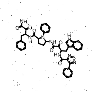 NC(=O)C(=O)C(Cc1ccccc1)NC(=O)C1CCC(NC(=O)C(=O)C(Cc2c[nH]c3ccccc23)NC(=O)c2nsnc2-c2ccccc2)N1c1ccccc1